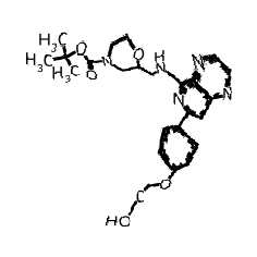 CC(C)(C)OC(=O)N1CCOC(CNc2nc(-c3ccc(OCCCO)cc3)cc3nccnc23)C1